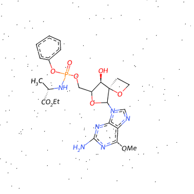 CCOC(=O)[C@H](C)NP(=O)(OCC1OC(n2cnc3c(OC)nc(N)nc32)[C@@]2(CCO2)[C@@H]1O)Oc1ccccc1